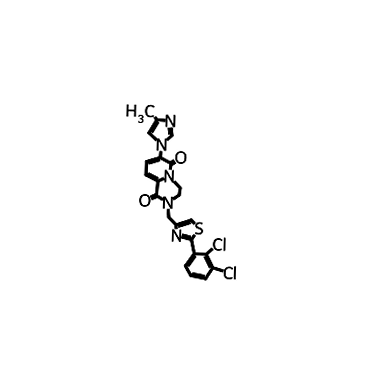 Cc1cn(-c2ccc3n(c2=O)CCN(Cc2csc(-c4cccc(Cl)c4Cl)n2)C3=O)cn1